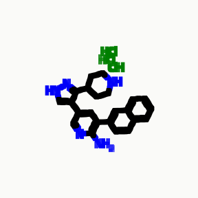 Cl.Cl.Cl.Nc1ncc(-c2c[nH]nc2C2CCNCC2)cc1-c1ccc2ccccc2c1